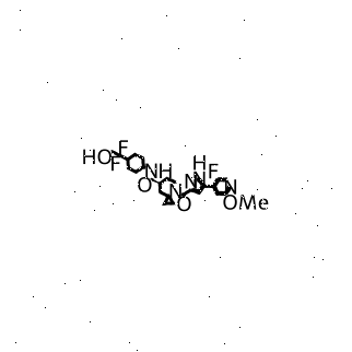 COc1cc(-c2cc(C(=O)N3CC[C@H](C(=O)NC4CCC(C(F)(F)CO)CC4)CC34CC4)n[nH]2)c(F)cn1